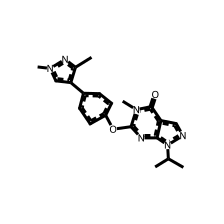 Cc1nn(C)cc1-c1ccc(Oc2nc3c(cnn3C(C)C)c(=O)n2C)cc1